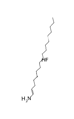 CCCCCCCCCCCCCCCCC=CN.F